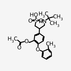 CC(=O)OCc1cc(C(CNC(C)(C)C)CS(=O)(=O)O)ccc1Oc1ccccc1C